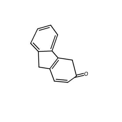 O=C1C=CC2=C(C1)c1ccccc1C2